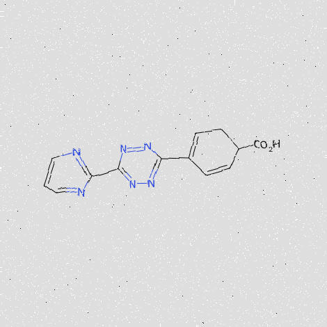 O=C(O)C1C=CC(c2nnc(-c3ncccn3)nn2)=CC1